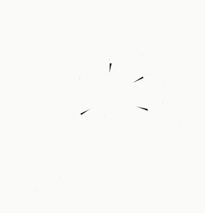 CC(=O)OC[C@H]1O[C@@H](OCCC(C)(C)C(=O)Cl)[C@H](O)[C@@H](OC(C)=O)[C@H]1OC(C)=O